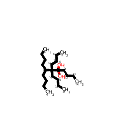 CCCCC(CCCC)C(CCCC)(CCCC)C(O)(O)CCCC